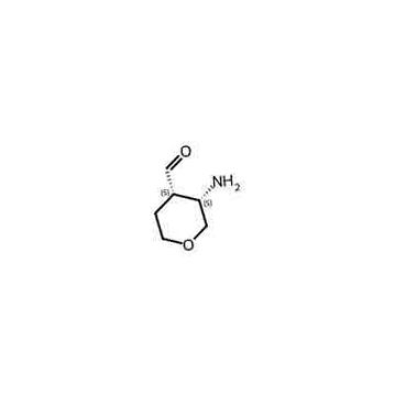 N[C@@H]1COCC[C@@H]1C=O